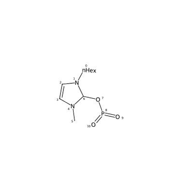 CCCCCCN1C=CN(C)C1OP(=O)=O